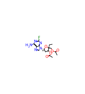 CC[C@]1(COC(C)=O)O[C@@H](n2cnc3c(N)nc(F)nc32)C[C@@H]1OC(C)=O